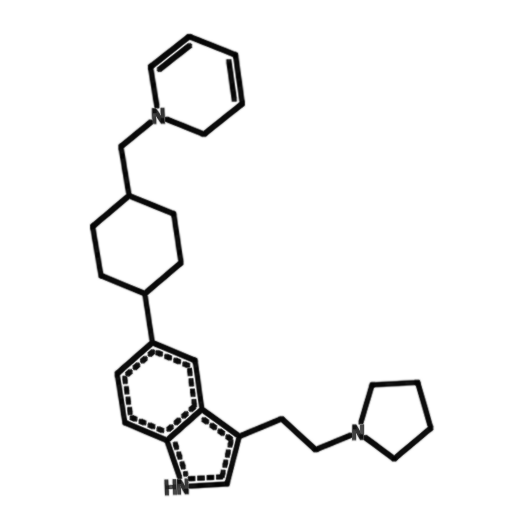 C1=CCN(CC2CCC(c3ccc4[nH]cc(CCN5CCCC5)c4c3)CC2)C=C1